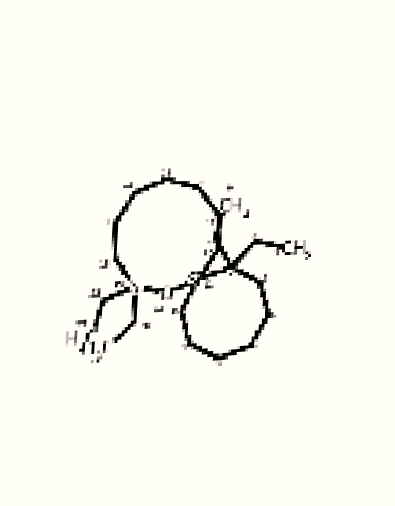 CCC1(CC)CCCCCC[Si]12CCCCCCC[Si](CC)(CC)O2